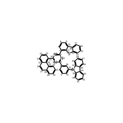 c1cc(-c2nc(-c3cccc4c3sc3ccccc34)nc(-c3cccc4ccc5ccccc5c34)n2)cc(-n2c3ccccc3c3ccccc32)c1